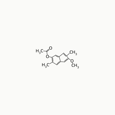 COc1cc2cc(C)c(OC(C)=O)cc2cc1C